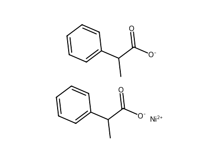 CC(C(=O)[O-])c1ccccc1.CC(C(=O)[O-])c1ccccc1.[Ni+2]